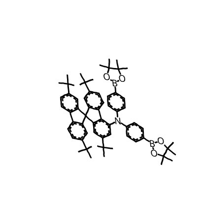 CC(C)(C)c1ccc2c(c1)C1(c3cc(C(C)(C)C)ccc3-2)c2cc(C(C)(C)C)ccc2-c2c(N(c3ccc(B4OC(C)(C)C(C)(C)O4)cc3)c3ccc(B4OC(C)(C)C(C)(C)O4)cc3)cc(C(C)(C)C)cc21